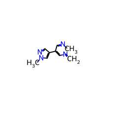 C=N/C=C(\C=N/C)c1cnn(C)c1